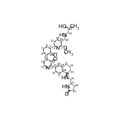 COc1nc(-c2cccc(-c3ccnc(-c4ccc5c(c4)CCC[C@H]5NCC4CCC(=O)N4)c3Cl)c2Cl)ccc1CNCC(C)O